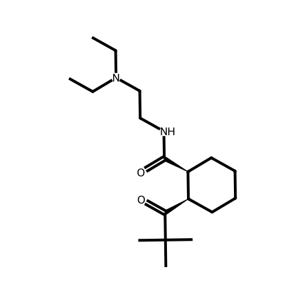 CCN(CC)CCNC(=O)[C@H]1CCCC[C@H]1C(=O)C(C)(C)C